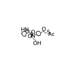 CC(=O)SCC(=O)c1ccc(N(CCO)S(=O)(=O)c2c[nH]c3ccccc23)cc1